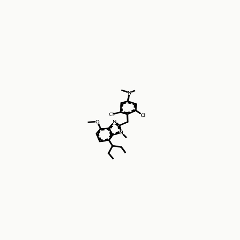 CCC(CC)c1ccc(OC)c2nc(Cc3c(Cl)cc(N(C)C)cc3Cl)n(C)c12